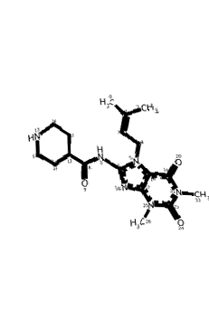 CC(C)=CCn1c(NC(=O)C2CCNCC2)nc2c1c(=O)n(C)c(=O)n2C